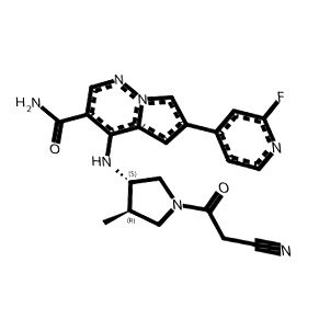 C[C@@H]1CN(C(=O)CC#N)C[C@H]1Nc1c(C(N)=O)cnn2cc(-c3ccnc(F)c3)cc12